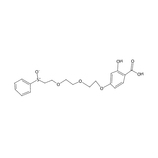 O=C(O)c1ccc(OCCOCCOCC[S+]([O-])c2ccccc2)cc1O